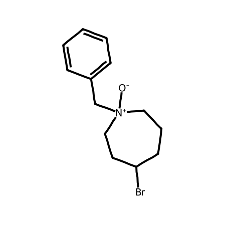 [O-][N+]1(Cc2ccccc2)CCCC(Br)CC1